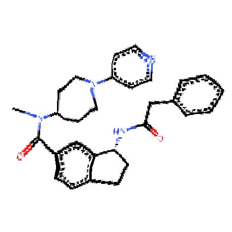 CN(C(=O)c1ccc2c(c1)[C@H](NC(=O)Cc1ccccc1)CC2)C1CCN(c2ccncc2)CC1